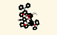 Cc1ccc2c(c1)c1cc(C)ccc1n2-c1c(-n2c3ccccc3c3cc(N(c4ccccc4)c4ccccc4)ccc32)c(-c2ccccc2)c(C#N)c(-c2ccccc2)c1-n1c2ccccc2c2cc(N(c3ccccc3)c3ccccc3)ccc21